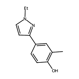 CCn1ccc(-c2ccc(O)c(C)c2)n1